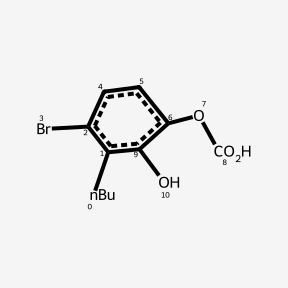 CCCCc1c(Br)ccc(OC(=O)O)c1O